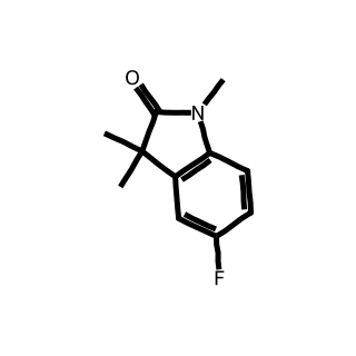 CN1C(=O)C(C)(C)c2cc(F)ccc21